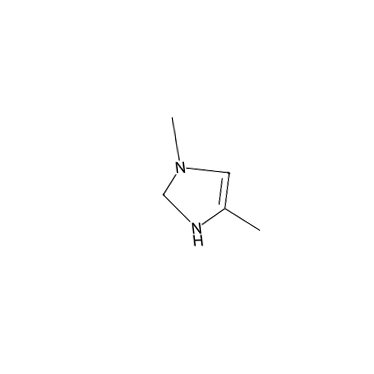 CC1=CN(C)CN1